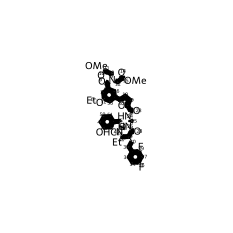 CCOc1cc(C(=O)N(CC(=O)OC)CC(=O)OC)cc(-c2ccc(C(=O)NCNC(=O)[C@H](CCc3ccc(F)cc3F)[C@@H](CC)N(C=O)OCc3ccccc3)o2)c1